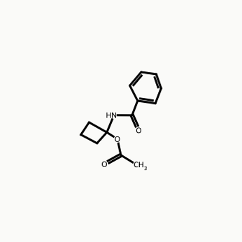 CC(=O)OC1(NC(=O)c2ccccc2)CCC1